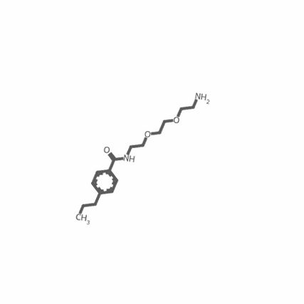 CCCc1ccc(C(=O)NCCOCCOCCN)cc1